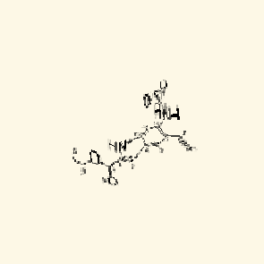 C=Cc1cc2cc(C(=O)OCC)[nH]c2cc1N[SH](=O)=O